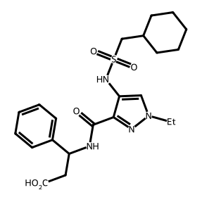 CCn1cc(NS(=O)(=O)CC2CCCCC2)c(C(=O)NC(CC(=O)O)c2ccccc2)n1